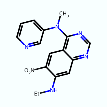 CCNc1cc2ncnc(N(C)c3cccnc3)c2cc1[N+](=O)[O-]